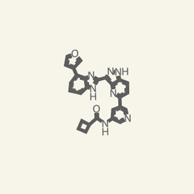 O=C(Nc1cncc(-c2ccc3[nH]nc(-c4nc5c(-c6ccoc6)cccc5[nH]4)c3n2)c1)C1CCC1